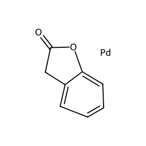 O=C1Cc2ccccc2O1.[Pd]